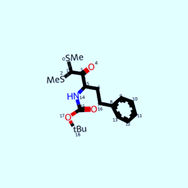 CSC(SC)C(=O)C(CCc1ccccc1)NC(=O)OC(C)(C)C